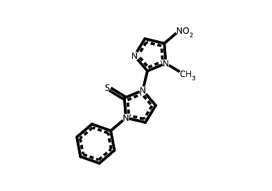 Cn1c([N+](=O)[O-])cnc1-n1ccn(-c2ccccc2)c1=S